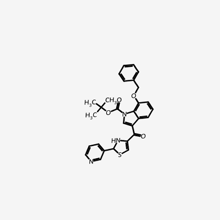 CC(C)(C)OC(=O)n1cc(C(=O)C2=CSC(c3cccnc3)N2)c2cccc(OCc3ccccc3)c21